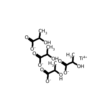 CC(O)C(=O)[O-].CC(O)C(=O)[O-].CC(O)C(=O)[O-].CC(O)C(=O)[O-].[Ti+4]